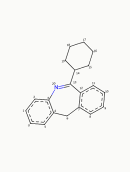 c1ccc2c(c1)Cc1ccccc1C(C1CCCCC1)=N2